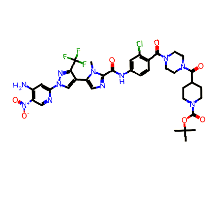 Cn1c(-c2cn(-c3cc(N)c([N+](=O)[O-])cn3)nc2C(F)(F)F)cnc1C(=O)Nc1ccc(C(=O)N2CCN(C(=O)C3CCN(C(=O)OC(C)(C)C)CC3)CC2)c(Cl)c1